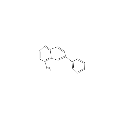 Cc1cccc2ccc(-c3ccccc3)cc12